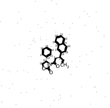 C=C[C@@H](CC(=O)N1C(=O)OC[C@@H]1c1ccccc1)c1ccc2ccccc2c1